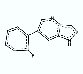 Fc1ccccc1-c1cnc2cc[nH]c2c1